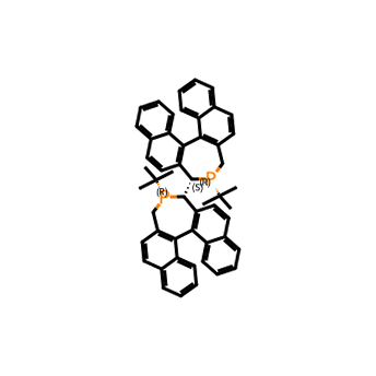 CC(C)(C)[P@@]1Cc2ccc3ccccc3c2-c2c(ccc3ccccc23)C1[C@@H]1c2ccc3ccccc3c2-c2c(ccc3ccccc23)C[P@]1C(C)(C)C